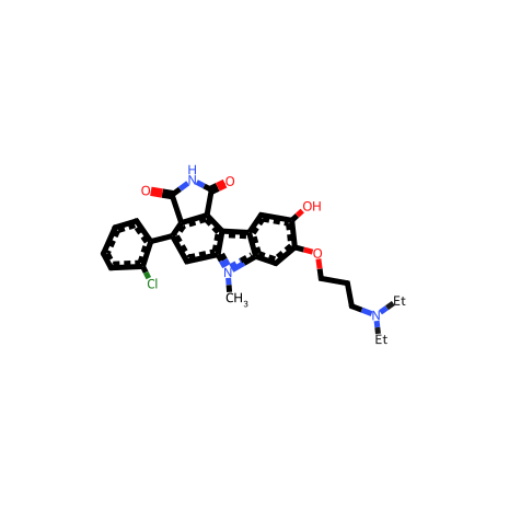 CCN(CC)CCCOc1cc2c(cc1O)c1c3c(c(-c4ccccc4Cl)cc1n2C)C(=O)NC3=O